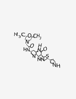 C[C@H]1CN(CC(=O)Nc2cnc3c(c2)[nH]c(=O)c2c3nn3cc(-c4cc[nH]c4)sc23)C[C@H](C)O1